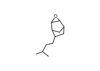 CC(C)CCC1CC2CC1C1OC21